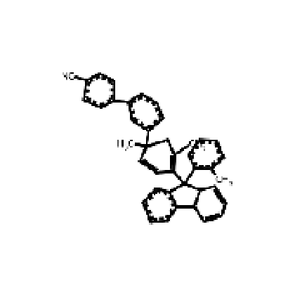 CC1=C(C2(c3ccccc3C)c3ccccc3C3C=CC=CC32)C=CC(C)(c2cccc(-c3ccc(C#N)cc3)c2)C1